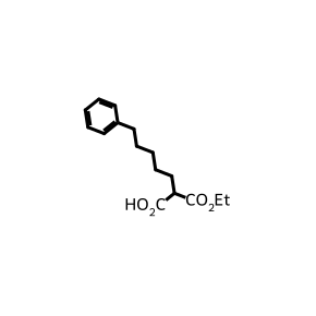 CCOC(=O)C(CCCCCc1ccccc1)C(=O)O